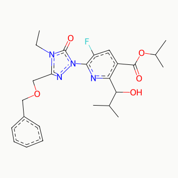 CCn1c(COCc2ccccc2)nn(-c2nc(C(O)C(C)C)c(C(=O)OC(C)C)cc2F)c1=O